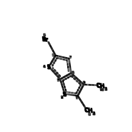 Cc1sc2sc(Br)cc2c1C